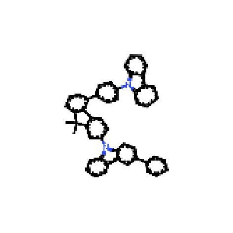 CC1(C)c2cc(-n3c4ccccc4c4cc(-c5ccccc5)ccc43)ccc2-c2c(-c3ccc(-n4c5ccccc5c5ccccc54)cc3)cccc21